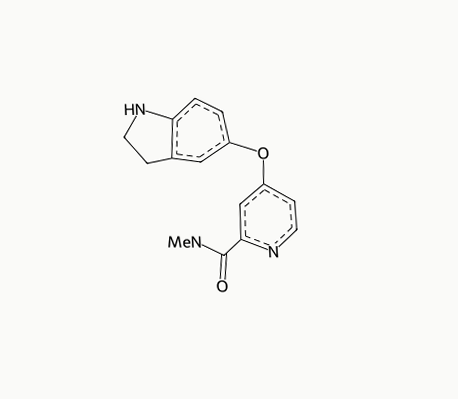 CNC(=O)c1cc(Oc2ccc3c(c2)CCN3)ccn1